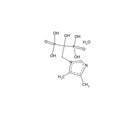 Cc1ncn(CC(O)(P(=O)(O)O)P(=O)(O)O)c1C.O